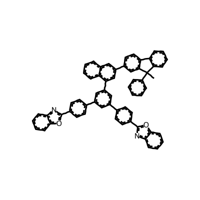 CC1(c2ccccc2)c2ccccc2-c2ccc(-c3cc(-c4cc(-c5ccc(-c6nc7ccccc7o6)cc5)cc(-c5ccc(-c6nc7ccccc7o6)cc5)c4)c4ccccc4c3)cc21